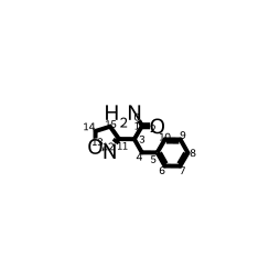 NC(=O)C(Cc1ccccc1)C1=NOCC1